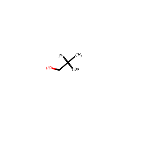 CCCCC(C)(CO)C(C)C